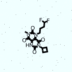 Cn1c(=O)c2[nH]c(=O)n(C3CCC3)c(=O)c2n(CCCC(F)F)c1=O